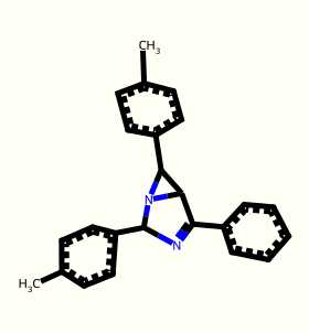 Cc1ccc(C2N=C(c3ccccc3)C3C(c4ccc(C)cc4)N23)cc1